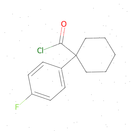 O=C(Cl)C1(c2ccc(F)cc2)CCCCC1